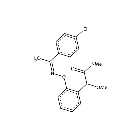 CNC(=O)C(OC)c1ccccc1ON=C(C)c1ccc(Cl)cc1